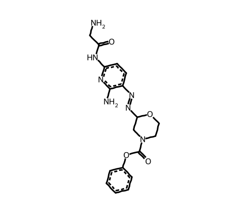 NCC(=O)Nc1ccc(N=NC2CN(C(=O)Oc3ccccc3)CCO2)c(N)n1